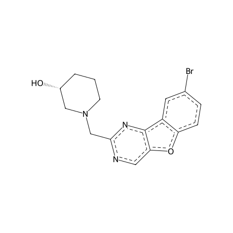 O[C@@H]1CCCN(Cc2ncc3oc4ccc(Br)cc4c3n2)C1